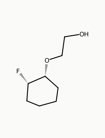 OCCO[C@@H]1CCCC[C@@H]1F